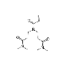 C=CC(=O)N(CCC(=O)N(C)C)CCC(=O)N(C)C